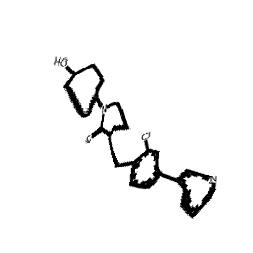 O=C1C(Cc2ccc(-c3cccnc3)cc2Cl)CCN1C1CCC(O)CC1